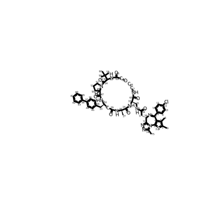 Cc1sc2c(c1C)C(c1ccc(Cl)cc1)=N[C@@H](CC(=O)NC[C@H]1NC(=O)[C@@H](C)NC(=O)C[C@@H](Cc3ccc(-c4ccccc4)cc3)NC(=O)[C@@H]3CCCN3C(=O)C(C(C)(C)C)NC(=O)COCCNC1=O)c1nnc(C)n1-2